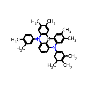 CC1=C(C)C(C)CC(N2c3cc(C)c(C)cc3B3c4cc(C)c(C)cc4N(c4ccc(C)c(C)c4)c4cccc2c43)=C1